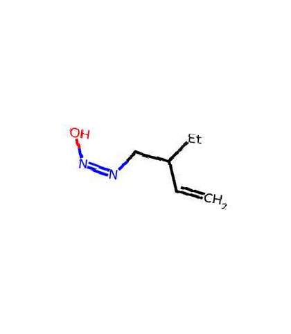 C=CC(CC)C/N=N\O